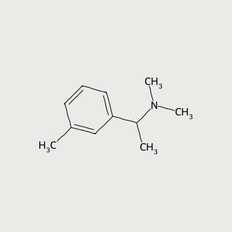 Cc1cccc(C(C)N(C)C)c1